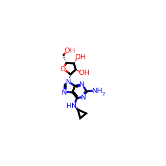 Nc1nc(NC2CC2)c2ncn([C@@H]3O[C@H](CO)[C@H](O)[C@@H]3O)c2n1